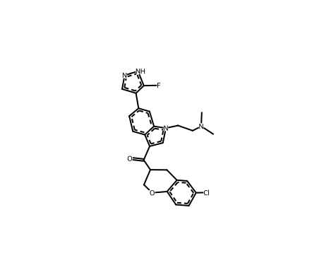 CN(C)CCn1cc(C(=O)C2COc3ccc(Cl)cc3C2)c2ccc(-c3cn[nH]c3F)cc21